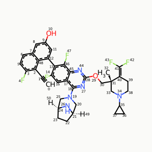 C#Cc1c(F)ccc2cc(O)cc(-c3c(F)cc4c(N5C[C@H]6CC[C@@H](C5)N6)nc(OC[C@@]5(C)CN(C6CC6)CCC5=C(F)F)nc4c3F)c12